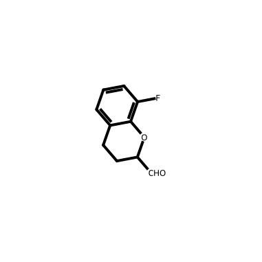 O=CC1CCc2cccc(F)c2O1